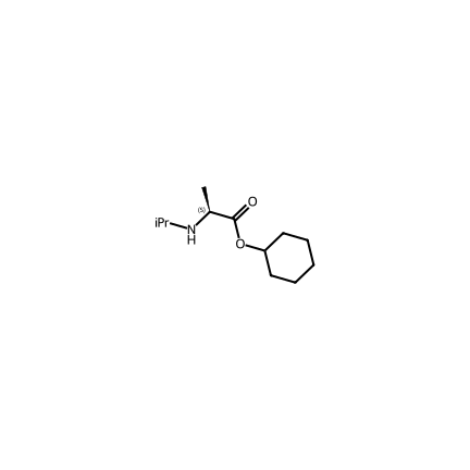 CC(C)N[C@@H](C)C(=O)OC1CCCCC1